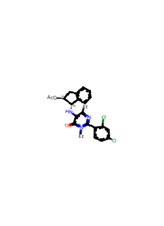 CCc1nc(-c2ccc(Cl)cc2Cl)n(CC)c(=O)c1N[C@H]1c2ccccc2C[C@@H]1OC(C)=O